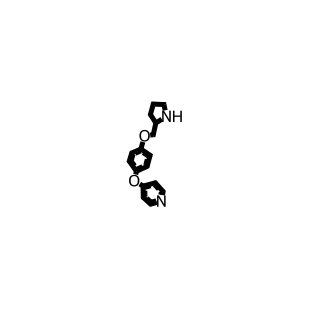 c1cc(Oc2ccc(OCC3CCCN3)cc2)ccn1